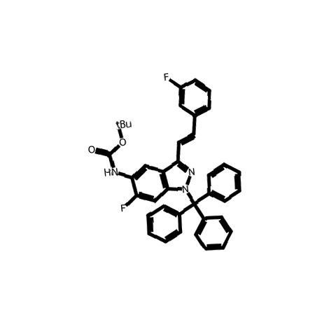 CC(C)(C)OC(=O)Nc1cc2c(C=Cc3cccc(F)c3)nn(C(c3ccccc3)(c3ccccc3)c3ccccc3)c2cc1F